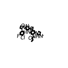 C=CC(=O)Nc1cc(Nc2cc(N3OCC[C@@H]3c3ccc(Cl)c(F)c3)ncn2)c(OC)cc1N1CC[C@H](N(C)C)C1